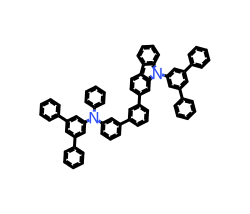 c1ccc(-c2cc(-c3ccccc3)cc(N(c3ccccc3)c3cccc(-c4cccc(-c5ccc6c7ccccc7n(-c7cc(-c8ccccc8)cc(-c8ccccc8)c7)c6c5)c4)c3)c2)cc1